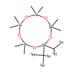 [2H]C([2H])[Si]1(C([2H])([2H])[2H])O[Si](C)(C)O[Si](C)(C)O[Si](C)(C)O[Si](C)(C)O1